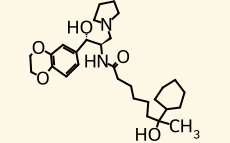 CC(O)(CCCCCC(=O)N[C@H](CN1CCCC1)[C@@H](O)c1ccc2c(c1)OCCO2)C1CCCCC1